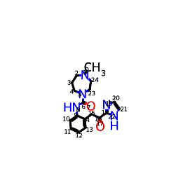 CN1CCCN(C(=O)Nc2ccccc2CC(=O)c2ncc[nH]2)CC1